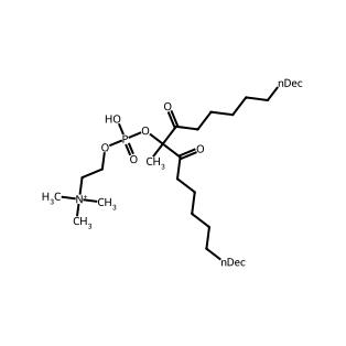 CCCCCCCCCCCCCCCC(=O)C(C)(OP(=O)(O)OCC[N+](C)(C)C)C(=O)CCCCCCCCCCCCCCC